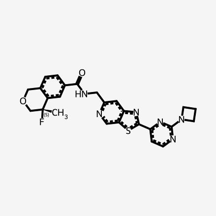 C[C@@]1(F)COCc2ccc(C(=O)NCc3cc4nc(-c5ccnc(N6CCC6)n5)sc4cn3)cc21